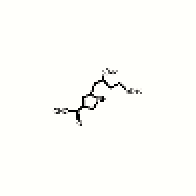 CCCCCCCCCCCCC(CCCCCCCCCC)CC1C=C(C(=O)C=O)CN1